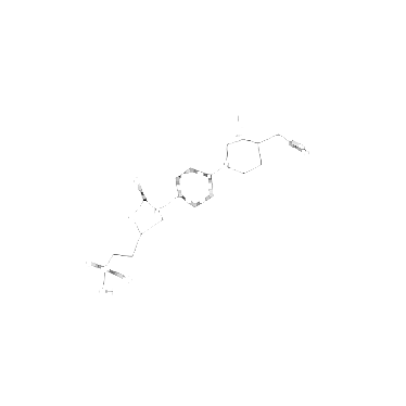 N#CCC1CCN(c2ccc(N3CC(CCS(=O)(=O)O)OC3=O)cc2)C[C@@H]1F